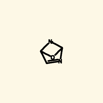 C1=NC2[N]C1O2